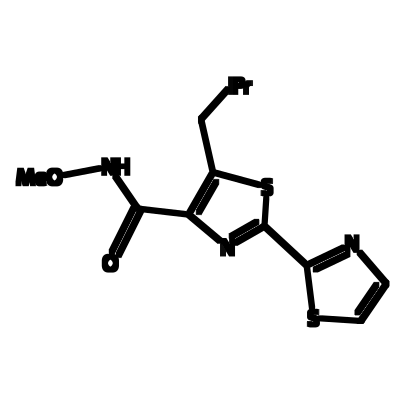 CONC(=O)c1nc(-c2nccs2)sc1CC(C)C